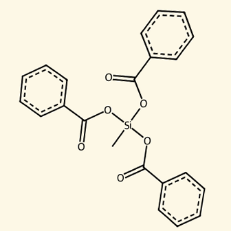 C[Si](OC(=O)c1ccccc1)(OC(=O)c1ccccc1)OC(=O)c1ccccc1